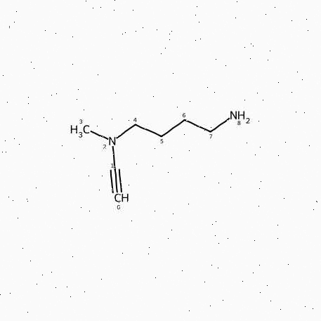 C#CN(C)CCCCN